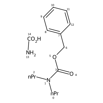 CCCN(CCC)C(=O)OCc1ccccc1.NC(=O)O